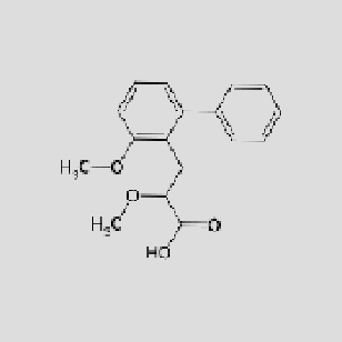 COc1cccc(-c2ccccc2)c1CC(OC)C(=O)O